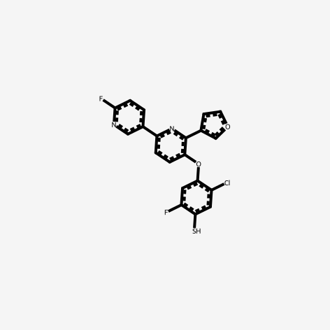 Fc1ccc(-c2ccc(Oc3cc(F)c(S)cc3Cl)c(-c3ccoc3)n2)cn1